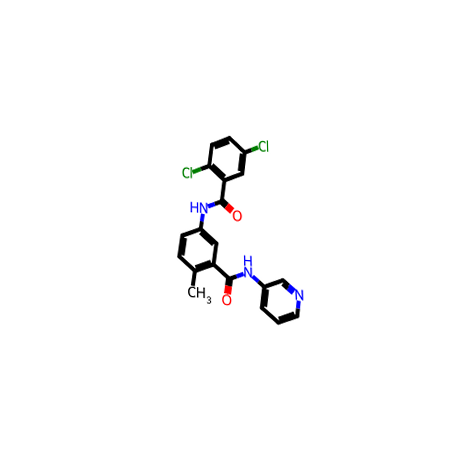 Cc1ccc(NC(=O)c2cc(Cl)ccc2Cl)cc1C(=O)Nc1cccnc1